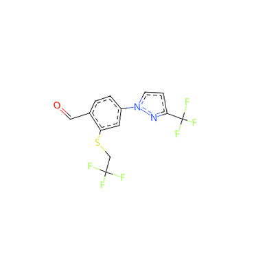 O=Cc1ccc(-n2ccc(C(F)(F)F)n2)cc1SCC(F)(F)F